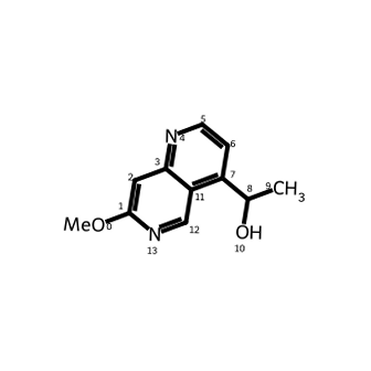 COc1cc2nccc(C(C)O)c2cn1